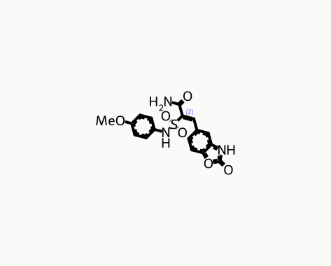 COc1ccc(NS(=O)(=O)/C(=C\c2ccc3oc(=O)[nH]c3c2)C(N)=O)cc1